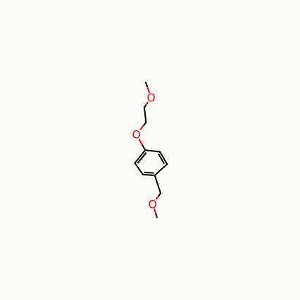 COCCOc1ccc(COC)cc1